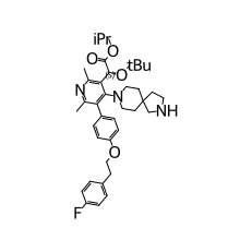 Cc1nc(C)c([C@H](OC(C)(C)C)C(=O)OC(C)C)c(N2CCC3(CCNC3)CC2)c1-c1ccc(OCCc2ccc(F)cc2)cc1